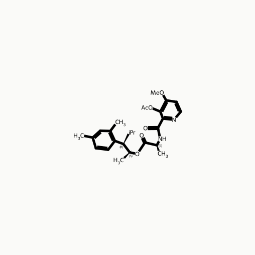 COc1ccnc(C(=O)N[C@@H](C)C(=O)O[C@@H](C)[C@@H](c2ccc(C)cc2C)C(C)C)c1OC(C)=O